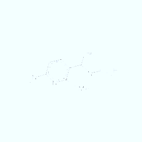 COc1nc(N)ccc1C(NC(=O)O)C(C)(C)C